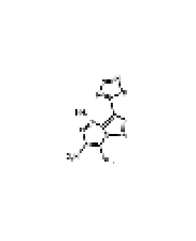 N.Nc1c([N+](=O)[O-])nnc2c(-c3nnn[nH]3)cnn12